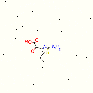 CCc1sc(N)nc1C(=O)C(=O)O